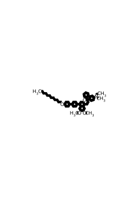 CCCCCCCCCCCCOc1ccc(-c2ccc(-c3cc4c(c5cc(OC)c(OC)cc35)C=CC(c3ccccc3)(c3ccc(N(C)CC)cc3)O4)cc2)cc1